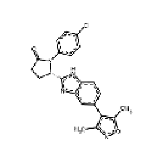 Cc1noc(C)c1-c1ccc2[nH]c([C@@H]3CCC(=O)N3c3ccc(Cl)cc3)nc2c1